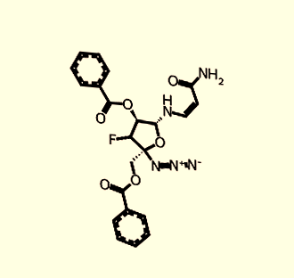 [N-]=[N+]=N[C@]1(COC(=O)c2ccccc2)O[C@@H](N/C=C\C(N)=O)[C@H](OC(=O)c2ccccc2)C1F